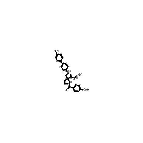 COc1ccc(C(=O)N2CCC(COc3ccc(-c4ccc(C#N)cc4)cc3)(C(=O)N=[N+]=[N-])C2)cc1